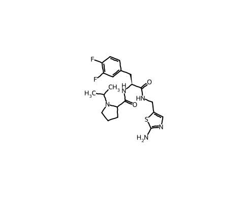 CC(C)N1CCCC1C(=O)N[C@@H](Cc1ccc(F)c(F)c1)C(=O)NCc1cnc(N)s1